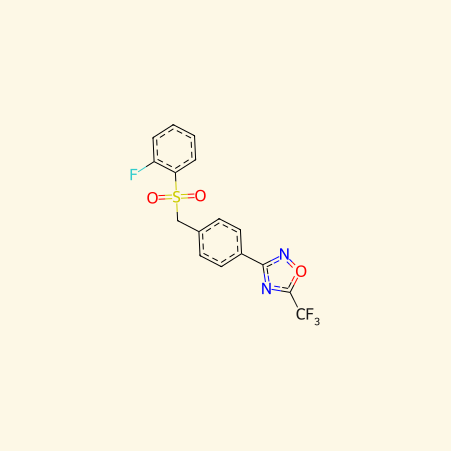 O=S(=O)(Cc1ccc(-c2noc(C(F)(F)F)n2)cc1)c1ccccc1F